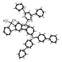 CC1(C)c2ccccc2-c2cc3c4cc(N(c5ccc(-c6ccccc6)cc5)c5ccc(-c6ccccc6)cc5)ccc4n(-c4nc(-c5ccccc5)cc(-c5ccccc5)n4)c3cc21